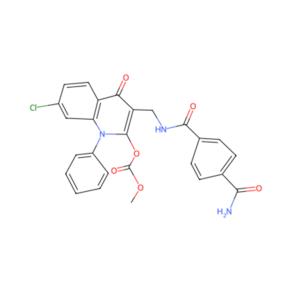 COC(=O)Oc1c(CNC(=O)c2ccc(C(N)=O)cc2)c(=O)c2ccc(Cl)cc2n1-c1ccccc1